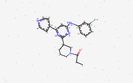 CCC(=O)N1CCCC(c2nc(Nc3cccc(F)c3)cc(-c3ccncc3)n2)C1